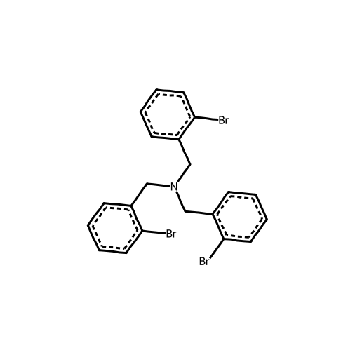 Brc1ccccc1CN(Cc1ccccc1Br)Cc1ccccc1Br